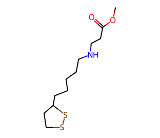 COC(=O)CCNCCCCCC1CCSS1